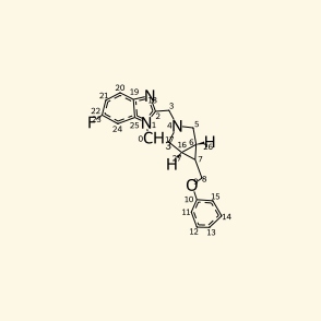 Cn1c(CN2C[C@@H]3C(COc4ccccc4)[C@@H]3C2)nc2ccc(F)cc21